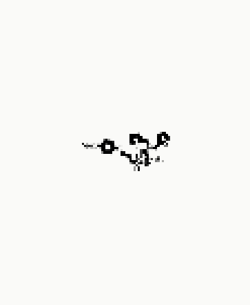 CCCC[C@H](NS(=O)(=O)CCCOc1ccc(OC)cc1)C(=O)N(Cc1cccs1)Cc1cccs1